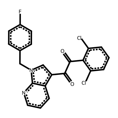 O=C(C(=O)c1cn(Cc2ccc(F)cc2)c2ncccc12)c1c(Cl)cccc1Cl